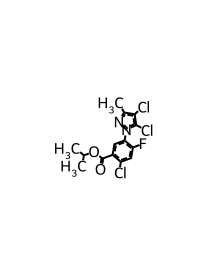 Cc1nn(-c2cc(C(=O)OC(C)C)c(Cl)cc2F)c(Cl)c1Cl